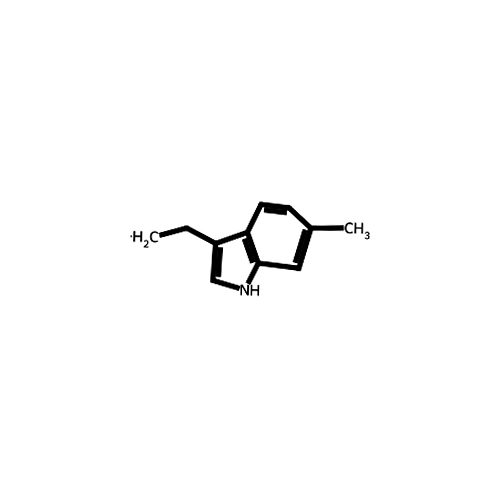 [CH2]Cc1c[nH]c2cc(C)ccc12